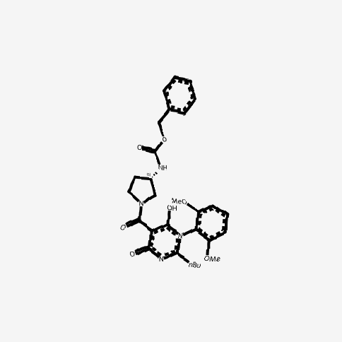 CCCCc1nc(=O)c(C(=O)N2CC[C@H](NC(=O)OCc3ccccc3)C2)c(O)n1-c1c(OC)cccc1OC